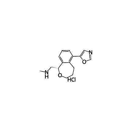 CNC[C@H]1OCCCc2c(-c3cnco3)cccc21.Cl